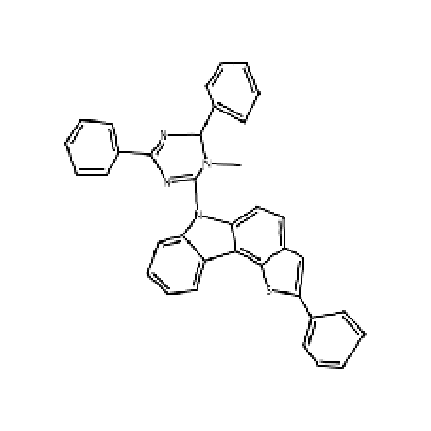 CN1C(n2c3ccccc3c3c4sc(-c5ccccc5)cc4ccc32)=NC(c2ccccc2)=NC1c1ccccc1